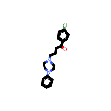 O=C(CCCN1CCN(c2ccccc2)CC1)c1ccc(Cl)cc1